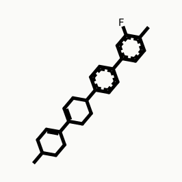 Cc1ccc(-c2ccc(C3CC=C(C4=CCC(C)CC4)CC3)cc2)cc1F